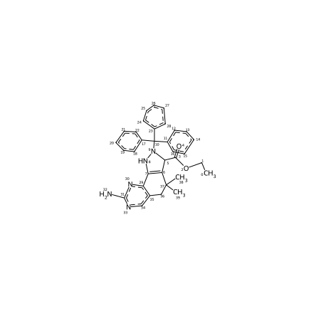 CCOC(=O)C1C2=C(NN1C(c1ccccc1)(c1ccccc1)c1ccccc1)c1nc(N)ncc1CC2(C)C